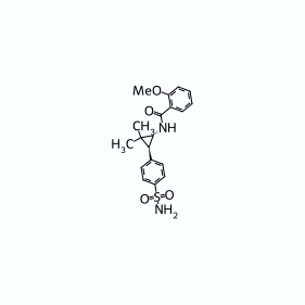 COc1ccccc1C(=O)N[C@@H]1[C@@H](c2ccc(S(N)(=O)=O)cc2)C1(C)C